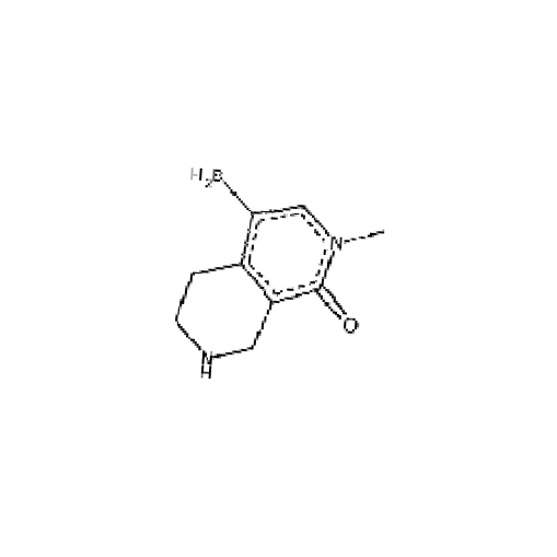 Bc1cn(C)c(=O)c2c1CCNC2